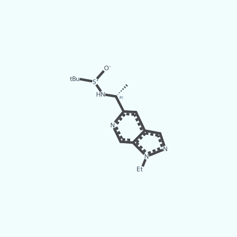 CCn1ncc2cc([C@@H](C)N[S+]([O-])C(C)(C)C)ncc21